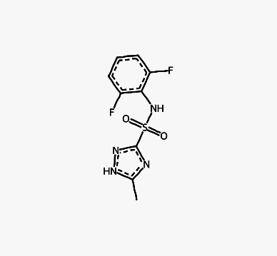 Cc1nc(S(=O)(=O)Nc2c(F)cccc2F)n[nH]1